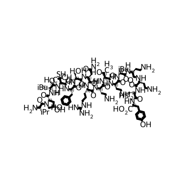 CC[C@H](C)[C@H](NC(=O)[C@@H](CCN)NC(=O)[C@@H](NC(=O)[C@H](CCN)NC(=O)[C@H](CCCNC(=N)N)NC(=O)[C@H](CC(N)=O)NC(=O)[C@H](CO)NC(=O)[C@H](Cc1ccc(O)cc1)NC(=O)[C@@H](NC(=O)[C@@H](NC(=O)[C@@H]1C[C@@H](O)CN1C(=O)[C@@H](N)C(C)C)[C@@H](C)CC)C(C)(C)S)[C@@H](C)O)C(=O)N[C@@H](CCN)C(=O)N[C@@H](CCN)C(=O)N[C@@H](CS)C(=O)N[C@@H](Cc1ccc(O)cc1)C(=O)O